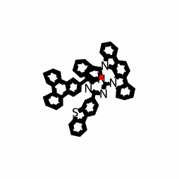 c1ccc(-c2nc(-c3ccc4c(c3)sc3ccccc34)nc(-n3c4ccccc4c4ccc5c6ccccc6n(-c6ccc(-c7ccc8c9ccccc9c9ccccc9c8c7)cc6)c5c43)n2)cc1